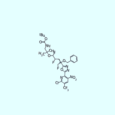 CC(C)(C)OC(=O)NCC(C)(C)OC(F)C(F)C[C@@](CF)(OCc1ccccc1)c1nnc(-c2nc(Cl)c(C(F)(F)F)cc2[N+](=O)[O-])o1